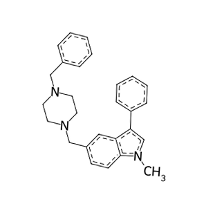 Cn1cc(-c2ccccc2)c2cc(CN3CCN(Cc4ccccc4)CC3)ccc21